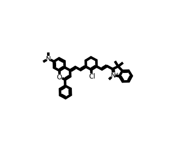 CN(C)c1ccc2c(c1)OC(c1ccccc1)=C/C2=C\C=C1/CCCC(/C=C/C2=[N+](C)c3ccccc3C2(C)C)=C1Cl